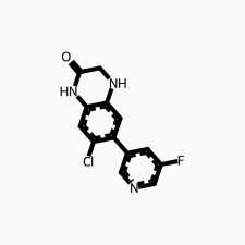 O=C1CNc2cc(-c3cncc(F)c3)c(Cl)cc2N1